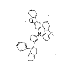 CC1(C)c2ccccc2-c2c(N(c3cccc(-c4ccc5ccccc5c4-c4ccccc4)c3)c3ccc4c(c3)oc3ccccc34)cccc21